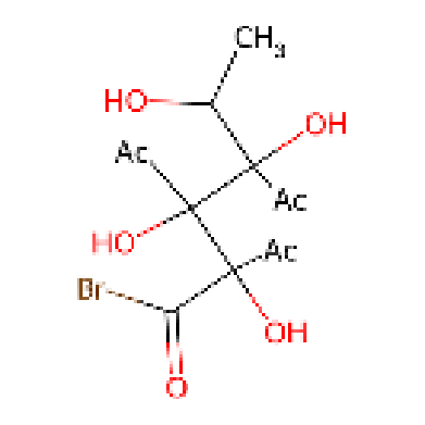 CC(=O)C(O)(C(=O)Br)C(O)(C(C)=O)C(O)(C(C)=O)C(C)O